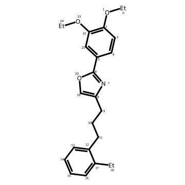 CCOc1ccc(-c2nc(CCCc3ccccc3CC)co2)cc1OCC